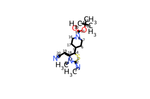 CN=C1SC(C2CCN(C(=O)OC(C)(C)C)CC2)C(=CC#N)N1C